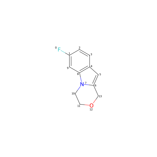 Fc1ccc2cc3n(c2c1)CCOC3